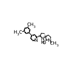 Cc1cc(C)cc(-c2ccnc([C@H]3CC[C@@]4(CCN(C)C4=O)N3)c2)c1